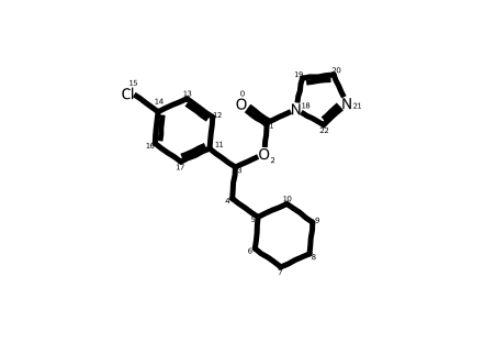 O=C(OC(CC1CCCCC1)c1ccc(Cl)cc1)n1ccnc1